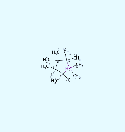 CC1(C)C(C)(C)C(C)(C)[PH](C)(C)C1(C)C